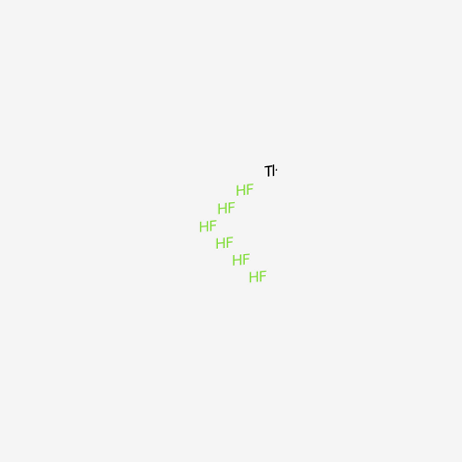 F.F.F.F.F.F.[Tl]